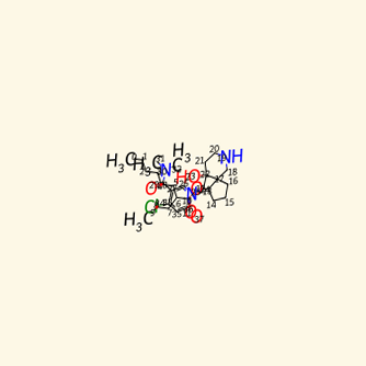 CCCCCCC(CCC)C(=O)OC1CCCC12CNCCC2(O)Cn1cc(C(=O)N(C)C)c(Cl)cc1=O